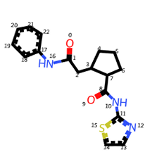 O=C(CC1CCCC1C(=O)Nc1nccs1)Nc1ccccc1